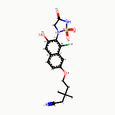 CC(C)(CC#N)CCOc1ccc2cc(O)c(N3CC(=O)NS3(=O)=O)c(F)c2c1